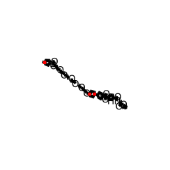 Cc1ccc(S(=O)OCCOCCOCCOCCOCCOCCOc2ccc(C3CCN(S(=O)(=O)c4ccc(C(=O)NCC(=O)OC(C)(C)C)cc4)CC3)cc2)cc1